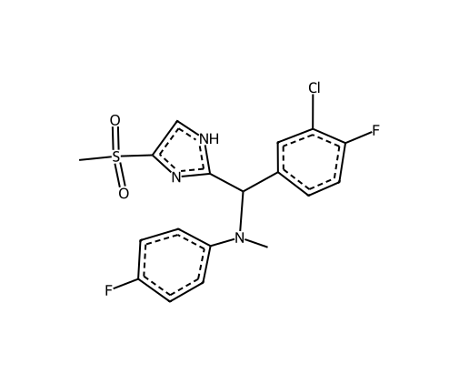 CN(c1ccc(F)cc1)C(c1ccc(F)c(Cl)c1)c1nc(S(C)(=O)=O)c[nH]1